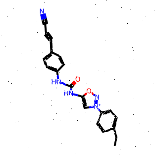 CCc1ccc(-[n+]2cc(NC(=O)Nc3ccc(C#CC#N)cc3)on2)cc1